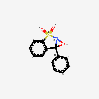 O=S1(=O)c2ccccc2C2(c3ccccc3)ON21